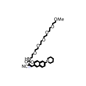 COCCOCCOCCOCCOCCOCCNS(=O)(=O)/C(C#N)=C\c1ccc2cc(N3CCCCC3)ccc2c1